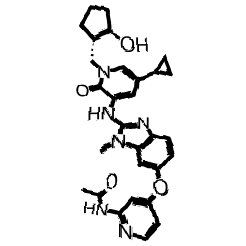 CC(=O)Nc1cc(Oc2ccc3nc(Nc4cc(C5CC5)cn(C[C@@H]5CCC[C@H]5O)c4=O)n(C)c3c2)ccn1